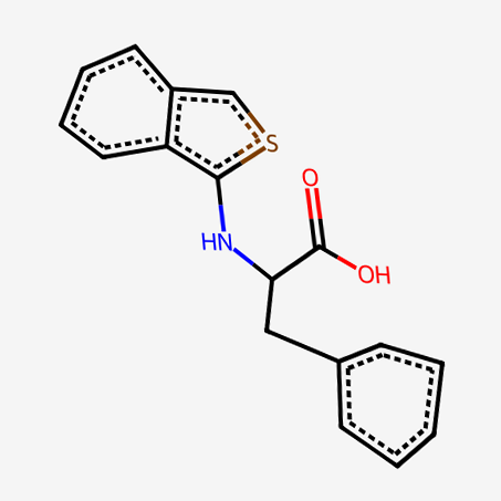 O=C(O)C(Cc1ccccc1)Nc1scc2ccccc12